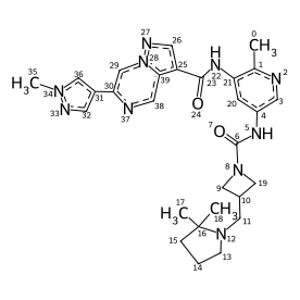 Cc1ncc(NC(=O)N2CC(CN3CCCC3(C)C)C2)cc1NC(=O)c1cnn2cc(-c3cnn(C)c3)ncc12